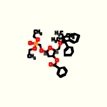 CCOP(=O)(CO[C@@H]1CC(OC(=O)c2ccccc2)[C@@H](CO[Si](c2ccccc2)(c2ccccc2)C(C)(C)C)O1)OCC